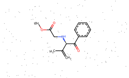 C=C(C)[C@@H](NCC(=O)OC(C)(C)C)C(=O)c1ccccc1